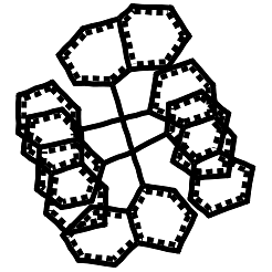 c1ccc2c(C(c3cccc4ccccc34)(c3cccc4ccccc34)C(c3cccc4ccccc34)(c3cccc4ccccc34)c3cccc4ccccc34)cccc2c1